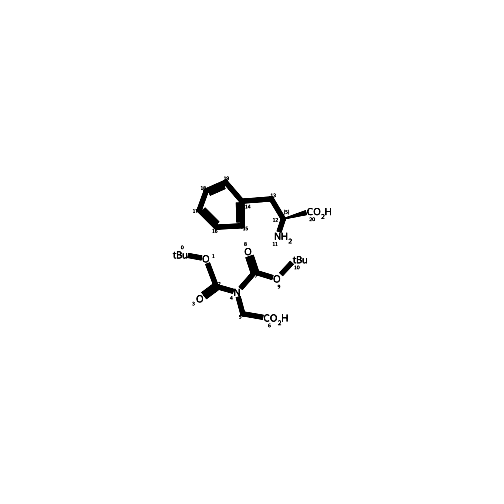 CC(C)(C)OC(=O)N(CC(=O)O)C(=O)OC(C)(C)C.N[C@@H](Cc1ccccc1)C(=O)O